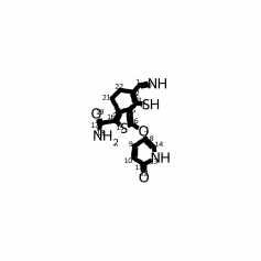 N=CC1=C(S)c2c(Oc3ccc(=O)[nH]c3)sc(C(N)=O)c2CC1